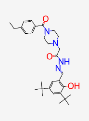 CCc1ccc(C(=O)N2CCN(CC(=O)N/N=C/c3cc(C(C)(C)C)cc(C(C)(C)C)c3O)CC2)cc1